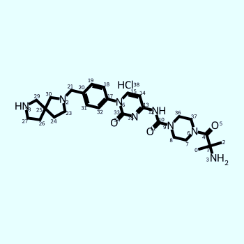 CC(C)(N)C(=O)N1CCN(C(=O)Nc2ccn(-c3ccc(CN4CCC5(CCNC5)C4)cc3)c(=O)n2)CC1.Cl